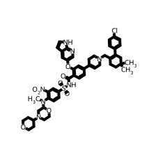 CN(c1ccc(S(=O)(=O)NC(=O)c2ccc(C3=CCN(CC4=C(c5ccc(Cl)cc5)CC(C)(C)CC4)CC3)cc2Oc2cnc3[nH]ccc3c2)cc1[N+](=O)[O-])C1CN(C2CCOCC2)CCO1